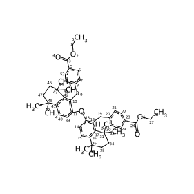 CCOC(=O)c1ccc(Cc2c(Oc3ccc4c(c3Cc3ccc(C(=O)OCC)cc3)C(C)(C)CCC4(C)C)ccc3c2C(C)(C)CCC3(C)C)cc1